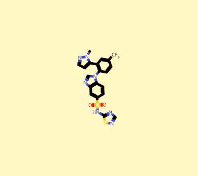 Cn1nccc1-c1cc(C(F)(F)F)ccc1-n1cnc2cc(S(=O)(=O)Nc3ncns3)ccc21